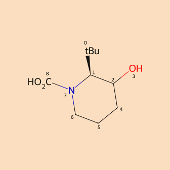 CC(C)(C)[C@H]1C(O)CCCN1C(=O)O